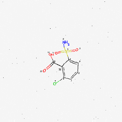 NS(=O)(=O)c1cccc(Cl)c1C(=O)O